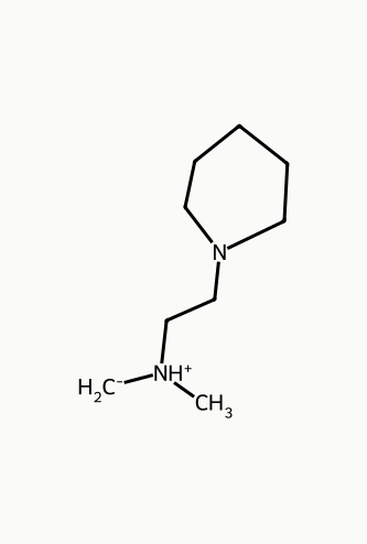 [CH2-][NH+](C)CCN1CCCCC1